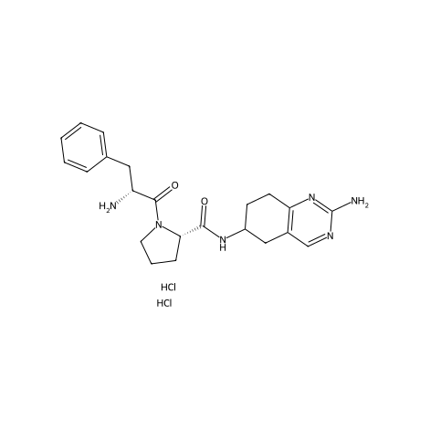 Cl.Cl.Nc1ncc2c(n1)CCC(NC(=O)[C@@H]1CCCN1C(=O)[C@H](N)Cc1ccccc1)C2